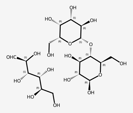 O=C[C@@H](O)[C@@H](O)[C@H](O)[C@H](O)CO.OC[C@H]1O[C@@H](O[C@H]2[C@H](O)[C@@H](O)[C@H](O)O[C@@H]2CO)[C@H](O)[C@@H](O)[C@H]1O